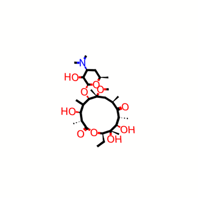 CC[C@H]1OC(=O)[C@H](C)[C@@H](O)C(C)[C@@H](O[C@@H]2O[C@H](C)C[C@H](N(C)C)C2O)[C@](C)(OC)C[C@@H](C)C(=O)[C@H](C)[C@@H](O)[C@]1(C)O